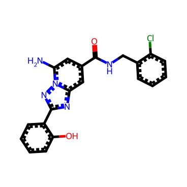 Nc1cc(C(=O)NCc2ccccc2Cl)cc2nc(-c3ccccc3O)nn12